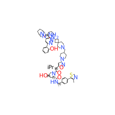 Cc1ncsc1-c1ccc([C@H](C)NC(=O)[C@@H]2C[C@@H](O)CN2C(=O)[C@@H](c2cc(N3CCC(CN4CCC5(CC4)CC(N4CCC[C@@H](CN6C7CCC6CN(c6cc(-c8ccccc8O)nnc6N)C7)C4)C5)CC3)no2)C(C)C)cc1